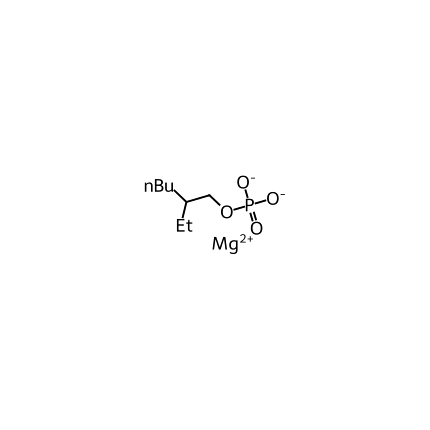 CCCCC(CC)COP(=O)([O-])[O-].[Mg+2]